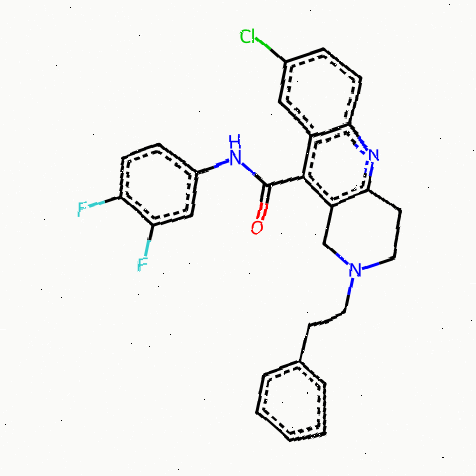 O=C(Nc1ccc(F)c(F)c1)c1c2c(nc3ccc(Cl)cc13)CCN(CCc1ccccc1)C2